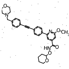 COc1cc(C(=O)NOC2CCCCO2)cc(-c2ccc(C#Cc3ccc(CN4CCOCC4)cc3)cc2)n1